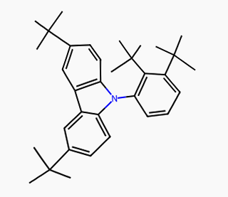 CC(C)(C)c1ccc2c(c1)c1cc(C(C)(C)C)ccc1n2-c1cccc(C(C)(C)C)c1C(C)(C)C